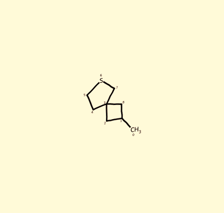 CC1CC2(CCSC2)C1